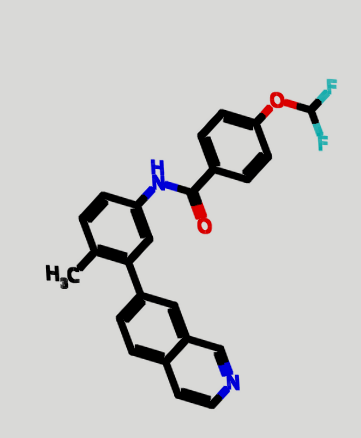 Cc1ccc(NC(=O)c2ccc(OC(F)F)cc2)cc1-c1ccc2ccncc2c1